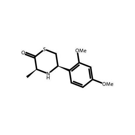 COc1ccc([C@@H]2CSC(=O)[C@H](C)N2)c(OC)c1